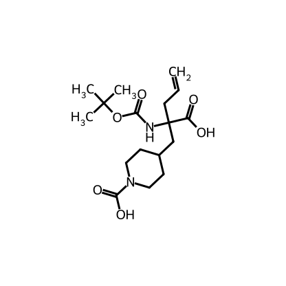 C=CCC(CC1CCN(C(=O)O)CC1)(NC(=O)OC(C)(C)C)C(=O)O